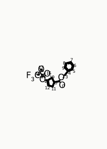 O=C(OCc1ccccc1)C1CC=C(OS(=O)(=O)C(F)(F)F)C1